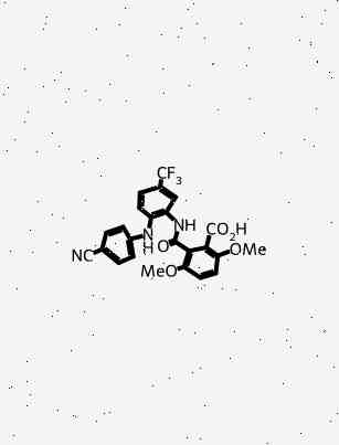 COc1ccc(OC)c(C(=O)Nc2cc(C(F)(F)F)ccc2Nc2ccc(C#N)cc2)c1C(=O)O